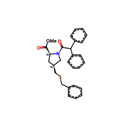 COC(=O)[C@@H]1C[C@H](CSCc2ccccc2)CN1C(=O)C(c1ccccc1)c1ccccc1